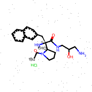 CC(C)(C)C(=O)N1CCCC1[C@](Cc1ccc2ccccc2c1)(NC=O)C(=O)NCC(O)CN.Cl